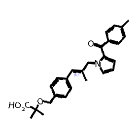 C/C(=C\c1ccc(COC(C)(C)C(=O)O)cc1)Cn1cccc1C(=O)c1ccc(C)cc1